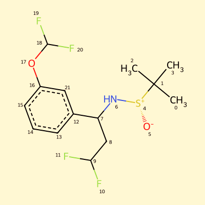 CC(C)(C)[S@+]([O-])NC(CC(F)F)c1cccc(OC(F)F)c1